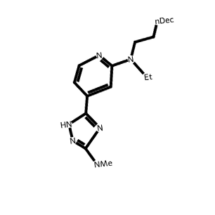 CCCCCCCCCCCCN(CC)c1cc(-c2nc(NC)n[nH]2)ccn1